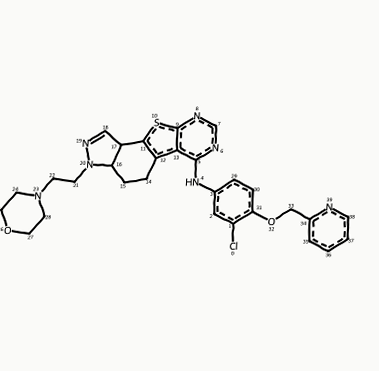 Clc1cc(Nc2ncnc3sc4c(c23)CCC2C4C=NN2CCN2CCOCC2)ccc1OCc1ccccn1